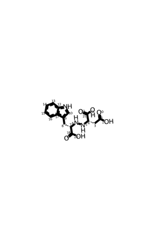 O=C(O)C[C@H](NN[C@@H](Cc1c[nH]c2ccccc12)C(=O)O)C(=O)O